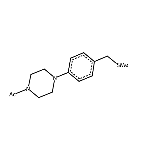 CSCc1ccc(N2CCN(C(C)=O)CC2)cc1